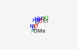 CCc1cc(NC(=O)Nc2ccc(Oc3ccnc4cc(F)c(OC)cc34)cc2)ccc1Cl